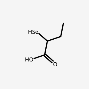 CCC([SeH])C(=O)O